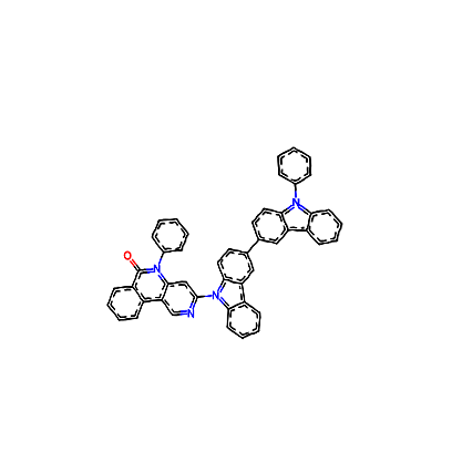 O=c1c2ccccc2c2cnc(-n3c4ccccc4c4cc(-c5ccc6c(c5)c5ccccc5n6-c5ccccc5)ccc43)cc2n1-c1ccccc1